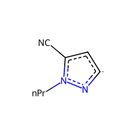 CCCn1n[c]cc1C#N